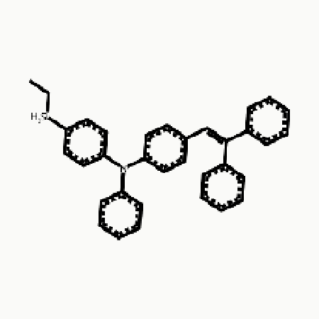 CC[SiH2]c1ccc(N(c2ccccc2)c2ccc(C=C(c3ccccc3)c3ccccc3)cc2)cc1